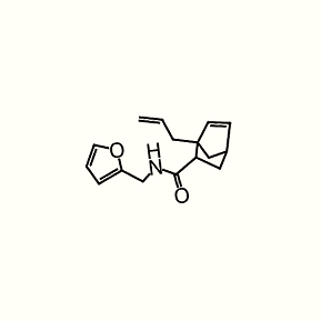 C=CCC12C=CC(CC1C(=O)NCc1ccco1)C2